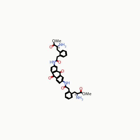 COC(=O)[C@@H](N)Cc1ccccc1CC(=O)Nc1ccc2c(c1)C(=O)c1cc(NC(=O)Cc3ccccc3C[C@H](N)C(=O)OC)ccc1C2=O